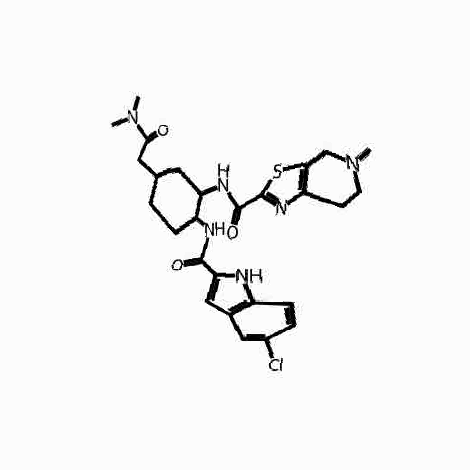 CN1CCc2nc(C(=O)NC3CC(CC(=O)N(C)C)CCC3NC(=O)c3cc4cc(Cl)ccc4[nH]3)sc2C1